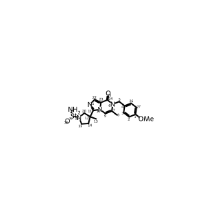 COc1ccc(Cn2c(C)cn3c(C4(C)CCN([S+](N)[O-])C4)ncc3c2=O)cc1